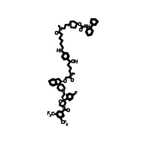 CN(CCN1CCC(OC(=O)Nc2ccccc2-c2ccccc2)CC1)C(=O)CCCCCNc1ccc(C(O)CCCN(C)C(=O)CO[C@H]2Cc3ccccc3C23CCN(CC[C@@]2(c4ccc(F)cc4)CN(C(=O)c4cc(C(F)(F)F)cc(C(F)(F)F)c4)CO2)CC3)cc1